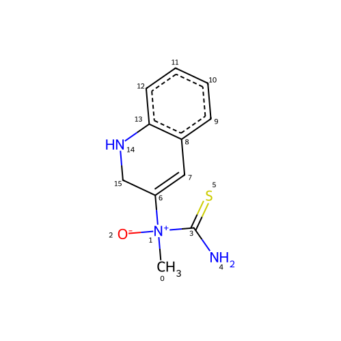 C[N+]([O-])(C(N)=S)C1=Cc2ccccc2NC1